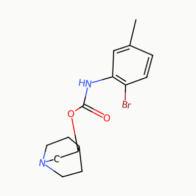 Cc1ccc(Br)c(NC(=O)OC2CN3CCC2CC3)c1